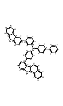 c1ccc(-c2ccc(N(c3ccc(-c4cccc5oc6c7ccccc7ccc6c45)cc3)c3cccc(-c4ccc5oc6ccccc6c5c4)c3)cc2)cc1